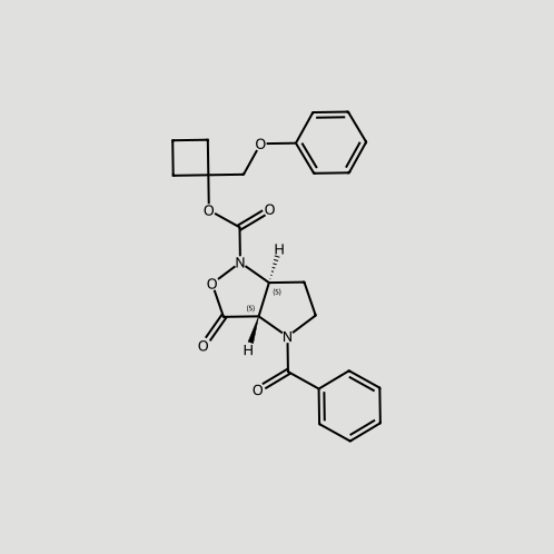 O=C1ON(C(=O)OC2(COc3ccccc3)CCC2)[C@H]2CCN(C(=O)c3ccccc3)[C@H]12